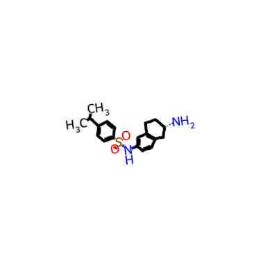 CC(C)c1ccc(S(=O)(=O)Nc2ccc3c(c2)CC[C@H](N)C3)cc1